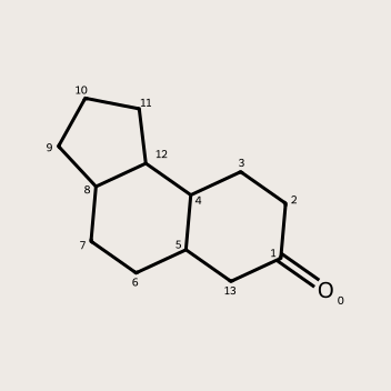 O=C1CCC2C(CCC3CCCC32)C1